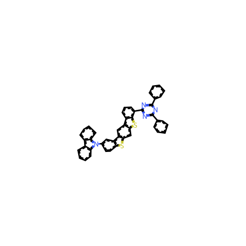 c1ccc(-c2nc(-c3ccccc3)nc(-c3cccc4c3sc3cc5sc6ccc(-n7c8ccccc8c8ccccc87)cc6c5cc34)n2)cc1